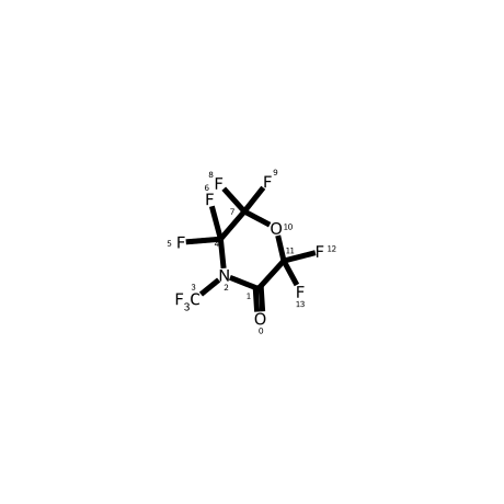 O=C1N(C(F)(F)F)C(F)(F)C(F)(F)OC1(F)F